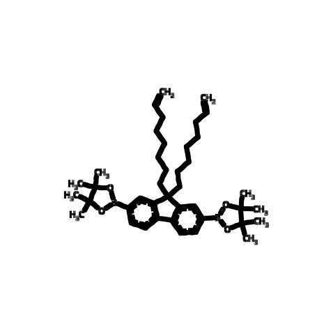 C=CCCCCCCC1(CCCCCCC=C)c2cc(B3OC(C)(C)C(C)(C)O3)ccc2-c2ccc(B3OC(C)(C)C(C)(C)O3)cc21